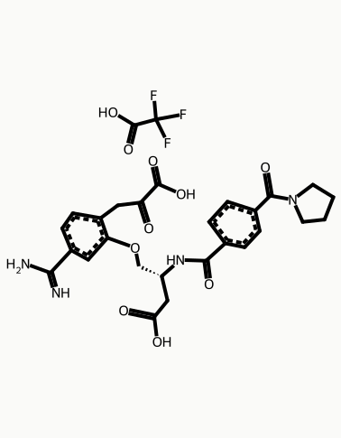 N=C(N)c1ccc(CC(=O)C(=O)O)c(OC[C@@H](CC(=O)O)NC(=O)c2ccc(C(=O)N3CCCC3)cc2)c1.O=C(O)C(F)(F)F